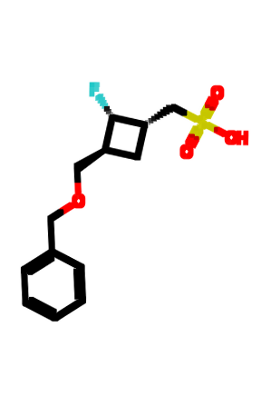 O=S(=O)(O)C[C@@H]1C[C@@H](COCc2ccccc2)[C@@H]1F